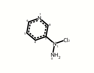 NN(Cl)c1cccnc1